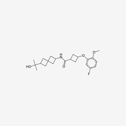 COc1ccc(F)cc1OC1CC(C(=O)NC2CC3(C2)CC(C(C)(C)O)C3)C1